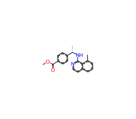 COC(=O)c1ccc([C@H](C)Nc2nccc3cccc(C)c23)cc1